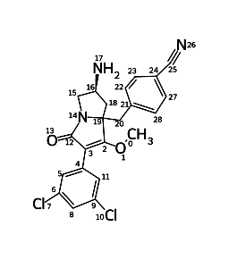 COC1=C(c2cc(Cl)cc(Cl)c2)C(=O)N2C[C@@H](N)CC12Cc1ccc(C#N)cc1